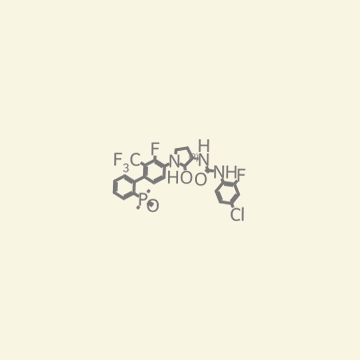 CP(C)(=O)c1ccccc1-c1ccc(N2CC[C@@H](NC(=O)Nc3ccc(Cl)cc3F)C2O)c(F)c1C(F)(F)F